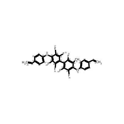 C=Cc1ccc(Oc2c(C)c(F)c(-c3c(F)c(F)c(Oc4ccc(C=C)cc4)c(F)c3F)c(F)c2F)cc1